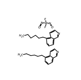 CCCCCCc1cccc2cnccc12.CCCCCCc1cccc2cnccc12.O=[N][W]([F])([F])[N]=O